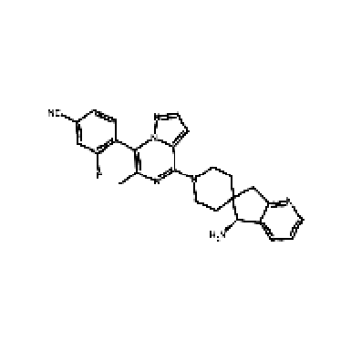 Cc1nc(N2CCC3(CC2)Cc2ncccc2[C@H]3N)c2ccnn2c1-c1ccc(C#N)cc1F